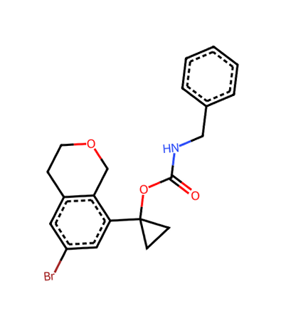 O=C(NCc1ccccc1)OC1(c2cc(Br)cc3c2COCC3)CC1